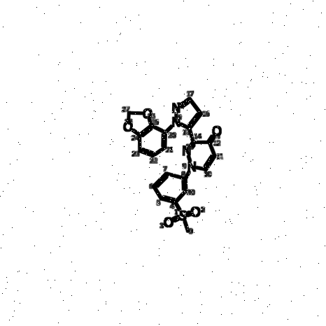 CS(=O)(=O)c1cccc(-n2ccc(=O)c(-c3ccnn3-c3cccc4c3OCO4)n2)c1